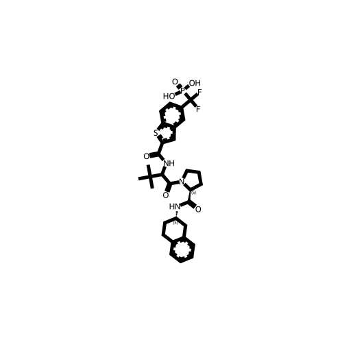 CC(C)(C)C(NC(=O)c1cc2cc(C(F)(F)P(=O)(O)O)ccc2s1)C(=O)N1CCC[C@H]1C(=O)N[C@H]1CCc2ccccc2C1